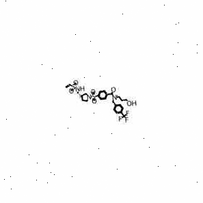 C=CS(=O)(=O)NC[C@H]1CCN(S(=O)(=O)c2ccc(C(=O)N(CCCO)Cc3ccc(C(F)(F)F)cc3)cc2)C1